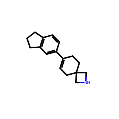 C1=C(c2ccc3c(c2)CCC3)CCC2(C1)CNC2